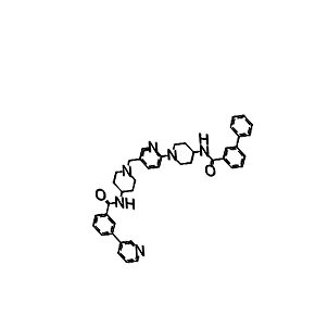 O=C(NC1CCN(Cc2ccc(N3CCC(NC(=O)c4cccc(-c5ccccc5)c4)CC3)nc2)CC1)c1cccc(-c2cccnc2)c1